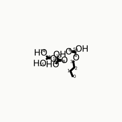 CCCCOC(=O)O.O=C(O)O.O=C(O)O